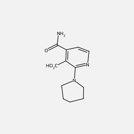 NC(=O)c1ccnc(N2CCCCC2)c1C(=O)O